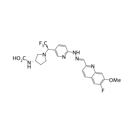 COc1cc2nc(/C=N/Nc3ccc([C@@H](N4CC[C@H](NC(=O)O)C4)C(F)(F)F)cn3)ccc2cc1F